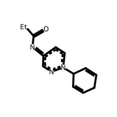 CCC(=O)N=c1ccn(C2C=CCC=C2)nc1